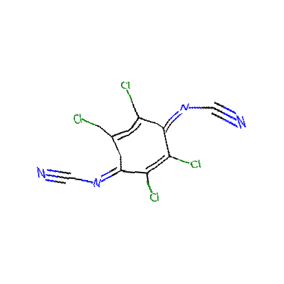 N#CN=C1C(Cl)=C(Cl)C(=NC#N)C(Cl)=C1Cl